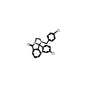 O=C1c2ccccc2C2(c3ccc(Cl)cc3)N(Cc3ccc(Cl)cc3)CCN12